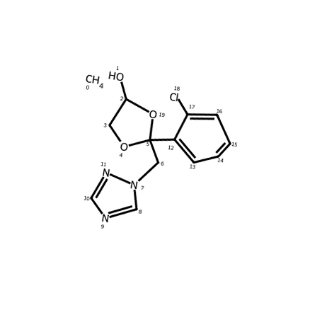 C.OC1COC(Cn2cncn2)(c2ccccc2Cl)O1